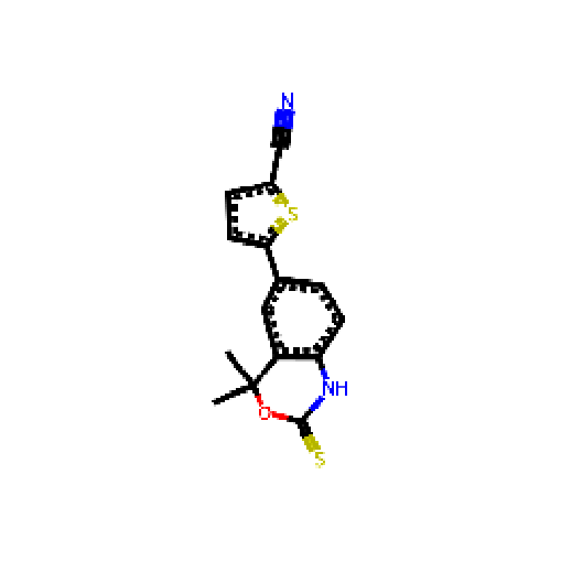 CC1(C)OC(=S)Nc2ccc(-c3ccc(C#N)s3)cc21